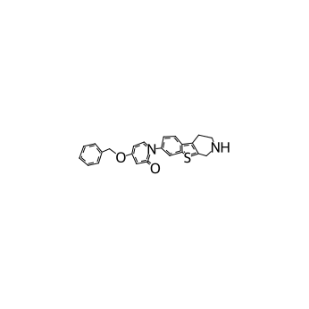 O=c1cc(OCc2ccccc2)ccn1-c1ccc2c3c(sc2c1)CNCC3